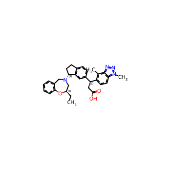 CC[C@@H]1CN([C@@H]2CCc3ccc([C@H](CC(=O)O)c4ccc5c(nnn5C)c4C)cc32)Cc2ccccc2O1